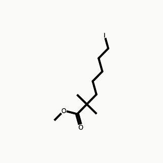 COC(=O)C(C)(C)CCCCCI